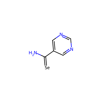 NC(=[Se])c1cncnc1